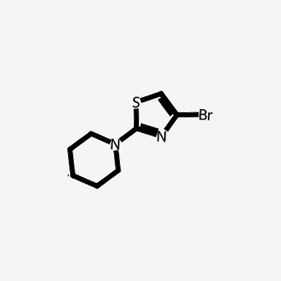 Brc1csc(N2CC[CH]CC2)n1